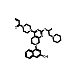 C=CC(=O)N1CCN(c2nc(OC(C)CN3CCCCC3)nc3c2CCN(c2cc(O)cc4ccccc24)C3)CC1